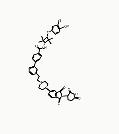 CC1(C)[C@H](NC(=O)c2ccc(-c3cccc(CCN4CCN(c5ccc6c(c5)C(=O)N(C5CCC(=O)NC5=O)C6=O)CC4)c3)cc2)C(C)(C)[C@H]1Oc1ccc(C#N)c(Cl)c1